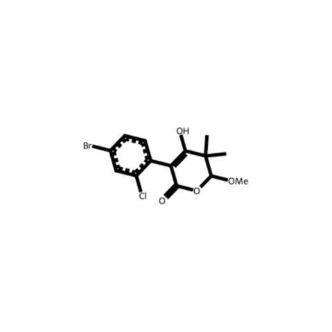 COC1OC(=O)C(c2ccc(Br)cc2Cl)=C(O)C1(C)C